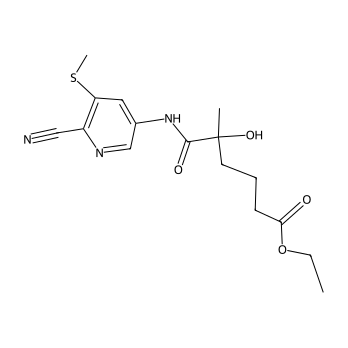 CCOC(=O)CCCC(C)(O)C(=O)Nc1cnc(C#N)c(SC)c1